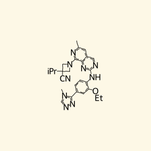 CCOc1cc(-c2nncn2C)ccc1Nc1ncc2cc(C)nc(N3CC(C#N)(C(C)C)C3)c2n1